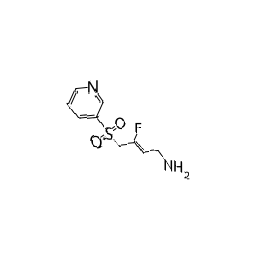 NC/C=C(\F)CS(=O)(=O)c1cccnc1